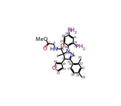 COC(=O)CNC(=O)C1(C)C(c2ccoc2)C(c2ccc(C)cc2C)=NN1c1ccc(P)cc1P